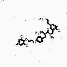 COCCc1ccc(Cl)c(CN(C(=O)C(CN)Cc2ccc(OCCOc3c(Cl)cc(C)cc3Cl)cc2)C(C)C)c1